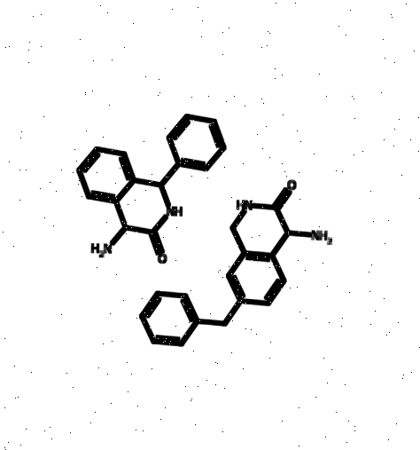 NC1C(=O)NC(c2ccccc2)c2ccccc21.NC1C(=O)NCc2cc(Cc3ccccc3)ccc21